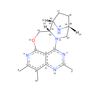 Cc1nc2c3c(nc(C)c(C)c3n1)OC[C@@H]1[C@@H]3CC[C@H](CN21)N3